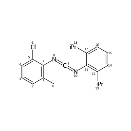 Cc1cccc(Cl)c1N=C=Nc1c(C(C)C)cccc1C(C)C